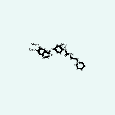 COc1cc2ncnc(Oc3ccc(NC(=O)NCCN4CCCCC4)c([N+](=O)[O-])c3)c2cc1OC